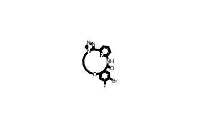 O=C1Nc2cccc(n2)-c2nncn2CCCCCOc2cc(F)c(Br)cc21